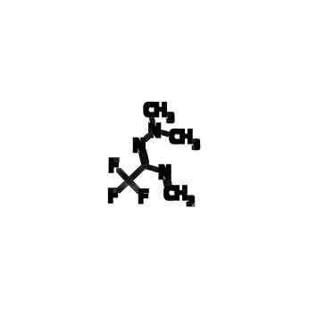 C=N/C(=N\N(C)C)C(F)(F)F